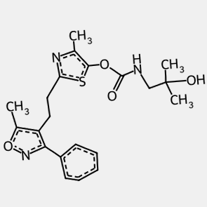 Cc1nc(CCc2c(-c3ccccc3)noc2C)sc1OC(=O)NCC(C)(C)O